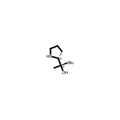 CC(C)(C)[C@](C)(O)[C@H]1CCCN1